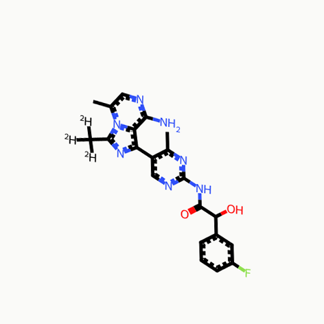 [2H]C([2H])([2H])c1nc(-c2cnc(NC(=O)C(O)c3cccc(F)c3)nc2C)c2c(N)ncc(C)n12